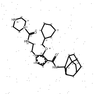 O=C(NC1C2CC3CC4CC1C4(C3)C2)c1cnn(CCNC(=O)N2CCNCC2)c1OCC1CCCCC1